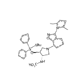 Cc1ccc(C)n1-c1noc2c(N3C[C@H](NC(=O)O)[C@@H](O[Si](c4ccccc4)(c4ccccc4)C(C)(C)C)C3)cccc12